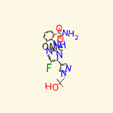 COc1cccc(S(N)(=O)=O)c1Nc1ncc(F)c(-c2cnn(CC(C)(C)O)c2)n1